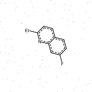 CCc1ccc2ccc(F)cc2n1